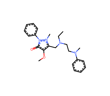 CCN(CCN(C)c1ccccc1)Cc1c(OC)c(=O)n(-c2ccccc2)n1C